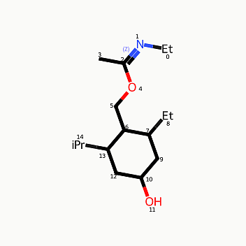 CC/N=C(/C)OCC1C(CC)CC(O)CC1C(C)C